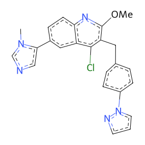 COc1nc2ccc(-c3cncn3C)cc2c(Cl)c1Cc1ccc(-n2cccn2)cc1